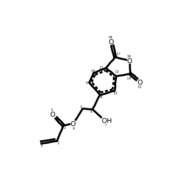 C=CC(=O)OCC(O)c1ccc2c(c1)C(=O)OC2=O